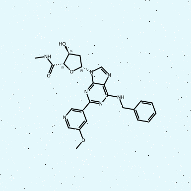 CNC(=O)[C@H]1O[C@@H](n2cnc3c(NCc4ccccc4)nc(-c4cncc(OC)c4)nc32)C[C@@H]1O